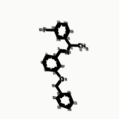 CC(/N=C/c1cccc(OCc2ccccc2)c1)c1cccc(F)c1